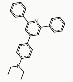 CCN(CC)c1ccc(-c2cc(-c3ccccc3)nc(-c3ccccc3)c2)cc1